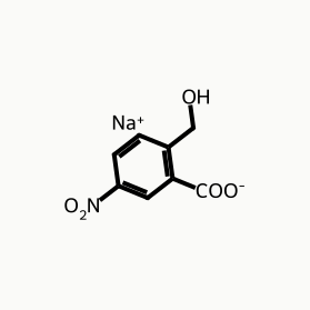 O=C([O-])c1cc([N+](=O)[O-])ccc1CO.[Na+]